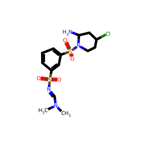 CN(C)C=NS(=O)(=O)c1cccc(S(=O)(=O)N2CCC(Cl)CC2N)c1